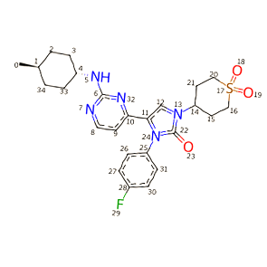 C[C@H]1CC[C@H](Nc2nccc(-c3cn(C4CCS(=O)(=O)CC4)c(=O)n3-c3ccc(F)cc3)n2)CC1